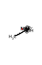 CCCCCCCCCCCC[S+]([O-])C(C(=O)[O-])C(O)C(=O)[O-].[Na+].[Na+]